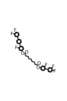 O=C(CCCCCCCC(=O)Oc1ccc(-c2ccc(F)c(F)c2)c(F)c1)Oc1ccc(-c2ccc(-c3ccc(F)c(F)c3)cc2)c(F)c1